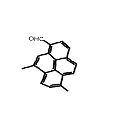 Cc1ccc2c(C)cc3c(C=O)ccc4ccc1c2c43